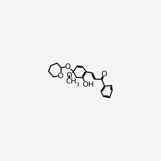 COC1(OC2CCCCO2)C=CC(C=CC(=O)c2ccccc2)=C(O)C1